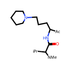 CNC(C(=O)NC(CCCN1CCCCC1)C(C)=O)C(C)C